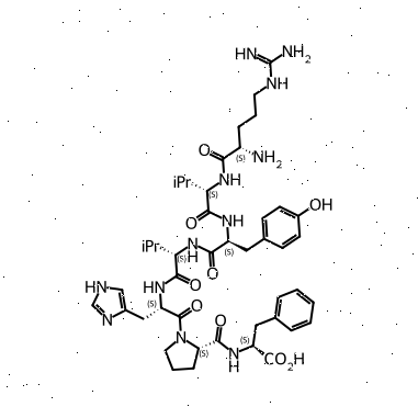 CC(C)[C@H](NC(=O)[C@H](Cc1ccc(O)cc1)NC(=O)[C@@H](NC(=O)[C@@H](N)CCCNC(=N)N)C(C)C)C(=O)N[C@@H](Cc1c[nH]cn1)C(=O)N1CCC[C@H]1C(=O)N[C@@H](Cc1ccccc1)C(=O)O